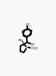 CC(C)(C)[C@]1(C(S)c2ccc(C(F)(F)F)cc2)CCCN1C(=O)O